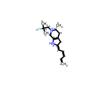 C=C/C=C\C=C1/CC2=C(CN(CC(C)(C)F)[C@H](C)C2)N1